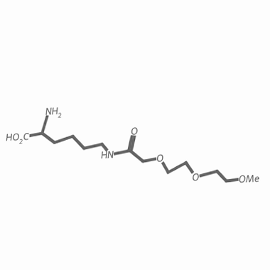 COCCOCCOCC(=O)NCCCCC(N)C(=O)O